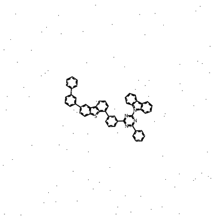 c1ccc(-c2cccc(-c3ccc4sc5c(-c6cccc(-c7nc(-c8ccccc8)nc(-n8c9ccccc9c9ccccc98)n7)c6)cccc5c4c3)c2)cc1